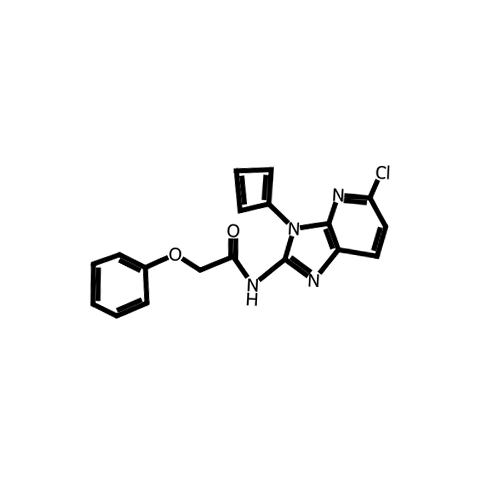 O=C(COc1ccccc1)Nc1nc2ccc(Cl)nc2n1C1=CC=C1